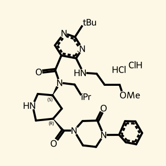 COCCCNc1nc(C(C)(C)C)ncc1C(=O)N(CC(C)C)[C@@H]1CNC[C@H](C(=O)N2CCN(c3ccccc3)C(=O)C2)C1.Cl.Cl